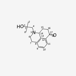 CC(C)(O)CN1CCc2cccc3c2C1CCC3=O